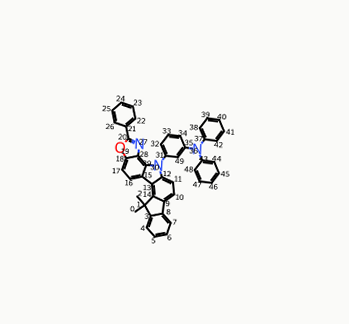 CC1(C)c2ccccc2-c2ccc3c(c21)c1ccc2oc(-c4ccccc4)nc2c1n3-c1cccc(N(c2ccccc2)c2ccccc2)c1